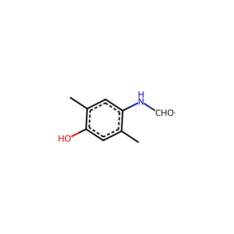 Cc1cc(N[C]=O)c(C)cc1O